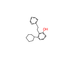 Oc1cccc(C2CCCCC2)c1CCc1ccccc1